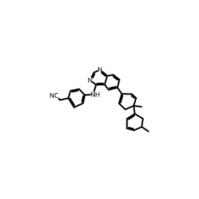 CC1C=CC=C(C2(C)C=CC(c3ccc4ncnc(Nc5ccc(CC#N)cc5)c4c3)=CC2)C1